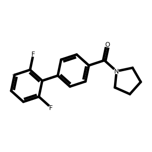 O=C(c1ccc(-c2c(F)[c]ccc2F)cc1)N1CCCC1